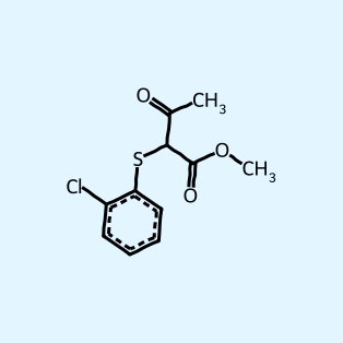 COC(=O)C(Sc1ccccc1Cl)C(C)=O